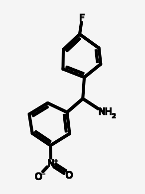 NC(c1ccc(F)cc1)c1cccc([N+](=O)[O-])c1